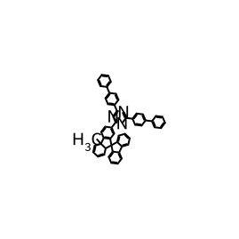 CC12C=CC=CC1C1(c3ccccc3-c3ccccc31)c1cc(-c3nc(-c4ccc(-c5ccccc5)cc4)nc(-c4ccc(-c5ccccc5)cc4)n3)ccc12